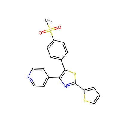 CS(=O)(=O)c1ccc(-c2sc(-c3cccs3)nc2-c2ccncc2)cc1